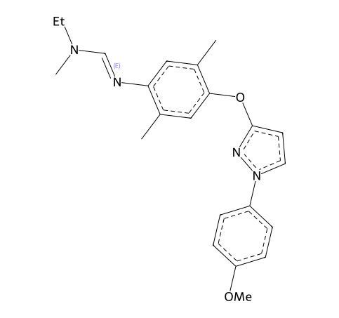 CCN(C)/C=N/c1cc(C)c(Oc2ccn(-c3ccc(OC)cc3)n2)cc1C